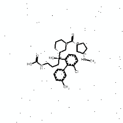 CN[C@H]1CC[C@@H](C(=O)N2CCC[C@@H]([C@@](O)(CCCNC(=O)O)c3cccc(Cl)c3-c3cccc(C)c3)C2)C1